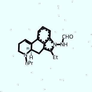 CCCN1CCC=C2c3cccc4c3c(c(CC)n4NC=O)C[C@H]21